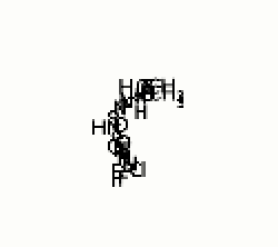 CC(C)(C)OC(=O)NCCCN1CCN(c2cccc(C(=O)Nc3ccc(S(=O)(=O)N4CCN(c5cc(C(F)(F)F)cc(Cl)n5)CC4)cc3)c2)CC1